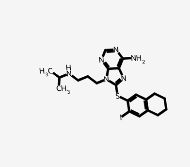 CC(C)NCCCn1c(Sc2cc3c(cc2I)CCCC3)nc2c(N)ncnc21